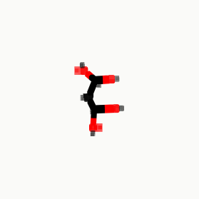 O=[C](O)[W][C](=O)O